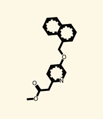 COC(=O)Cc1ccc(OCc2cccc3ccccc23)cn1